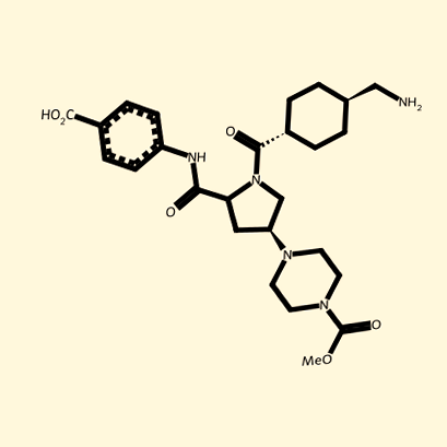 COC(=O)N1CCN([C@H]2CC(C(=O)Nc3ccc(C(=O)O)cc3)N(C(=O)[C@H]3CC[C@H](CN)CC3)C2)CC1